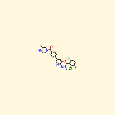 CC1CN(C(=O)c2ccc(-c3cnc(N)c(OC(C)c4c(Cl)ccc(F)c4Cl)c3)cc2)CCN1